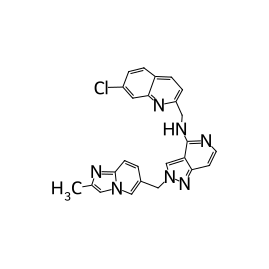 Cc1cn2cc(Cn3cc4c(NCc5ccc6ccc(Cl)cc6n5)nccc4n3)ccc2n1